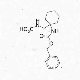 O=C(O)NCC1(NC(=O)OCc2ccccc2)CCCCC1